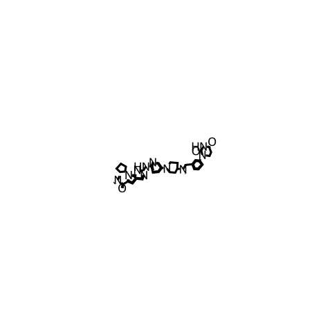 CN(C)C(=O)c1cc2cnc(Nc3ccc(N4CCC(N(C)Cc5cccc(N6CCC(=O)NC6=O)c5)CC4)cn3)nc2n1C1CCCC1